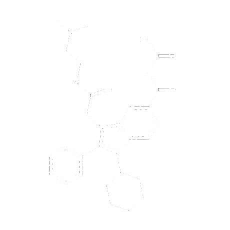 CN(C)CCNC(=O)Cn1c(-c2ccccc2)c(C2CCCCC2)c2ccc(C(=O)OC(=O)C(F)(F)F)cc21